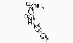 CC(N)C(=O)N1CCC2(CC1)C[C@H](CCN1CCN(c3ccc(F)cc3)C[C@@H]1C)NC2=O